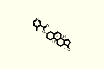 Cc1ccncc1C(=O)O[C@H]1CC[C@@]2(C)C(=CC[C@H]3C4=CCC(=O)[C@@]4(C)CC[C@@H]32)C1